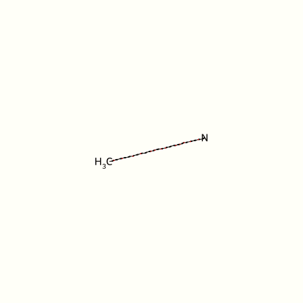 CC#CC#CC#CC#CC#CC#CC#CC#CC#CC#CC#CC#CC#CC#CC#CC#CC#CC#CC#CC#CC#CC#CC#N